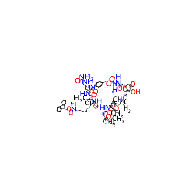 CC(=O)O[C@@H](C)/C=C\C(=O)N[C@@H]1C[C@H](C)[C@H](C/C=C(C)/C=C/[C@H]2O[C@H](CC(=O)NNC(=O)OCc3ccc(NC(=O)[C@H](CCCNC(N)=O)NC(=O)[C@@H](NC(=O)CCCCCCCNC(=O)OCC4c5ccccc5-c5ccccc54)C(C)C)cc3)C[C@@]3(CO3)[C@@H]2O)O[C@@H]1C